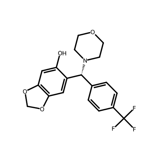 Oc1cc2c(cc1[C@@H](c1ccc(C(F)(F)F)cc1)N1CCOCC1)OCO2